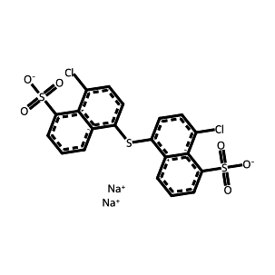 O=S(=O)([O-])c1cccc2c(Sc3ccc(Cl)c4c(S(=O)(=O)[O-])cccc34)ccc(Cl)c12.[Na+].[Na+]